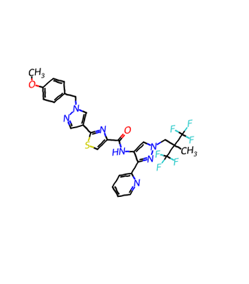 COc1ccc(Cn2cc(-c3nc(C(=O)Nc4cn(CC(C)(C(F)(F)F)C(F)(F)F)nc4-c4ccccn4)cs3)cn2)cc1